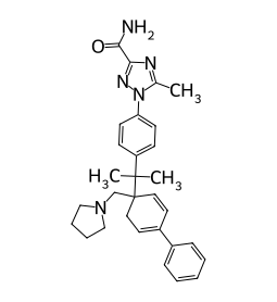 Cc1nc(C(N)=O)nn1-c1ccc(C(C)(C)C2(CN3CCCC3)C=CC(c3ccccc3)=CC2)cc1